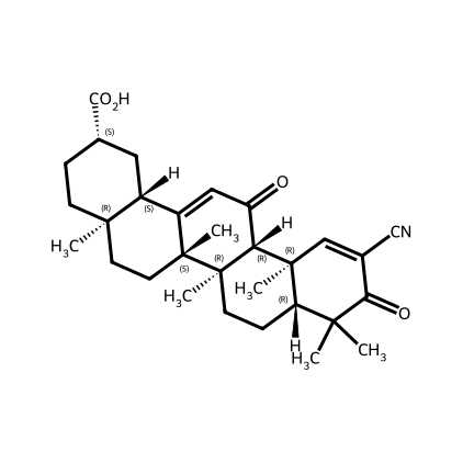 CC1(C)C(=O)C(C#N)=C[C@]2(C)[C@H]3C(=O)C=C4[C@H]5C[C@@H](C(=O)O)CC[C@]5(C)CC[C@@]4(C)[C@]3(C)CC[C@@H]12